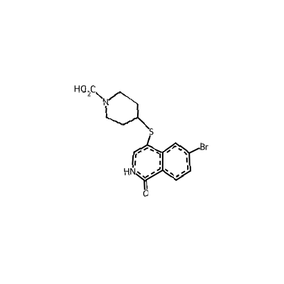 O=C(O)N1CCC(Sc2c[nH]c(=O)c3ccc(Br)cc23)CC1